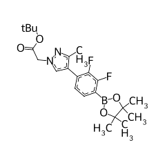 Cc1nn(CC(=O)OC(C)(C)C)cc1-c1ccc(B2OC(C)(C)C(C)(C)O2)c(F)c1F